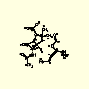 CC(=O)N[C@@H]1C(=O)N2C(C(=O)[O-])C(C)(C)S[C@@H]12.O=COC(S)=C=CS.[Na+]